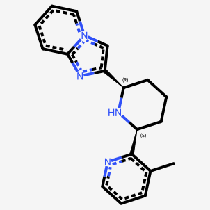 Cc1cccnc1[C@@H]1CCC[C@H](c2cn3ccccc3n2)N1